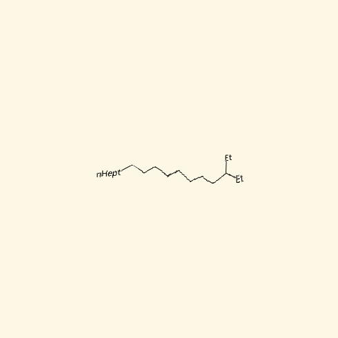 [CH2]CC(CC)CCCCCCCCCCCCCCC